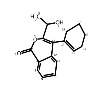 CC(O)c1oc(=O)c2ccccc2c1C1=CCCCC1